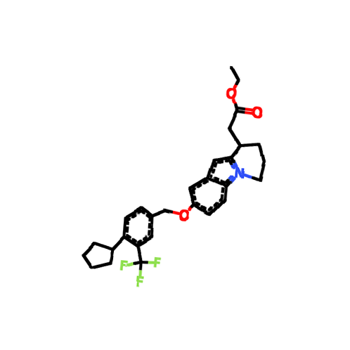 CCOC(=O)CC1CCCn2c1cc1cc(OCc3ccc(C4CCCC4)c(C(F)(F)F)c3)ccc12